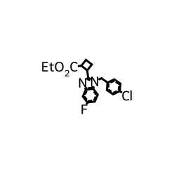 CCOC(=O)C1CCC1c1nc2cc(F)ccc2n1Cc1ccc(Cl)cc1